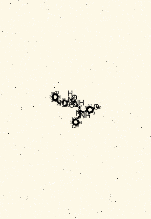 COc1ccc(-c2[nH]c(-c3ccccc3)nc2CCNS(=O)(=O)NC2CCN(Cc3ccccc3)C2)cc1